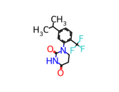 CC(C)c1ccc(C(F)(F)F)c(N2CCC(=O)NC2=O)c1